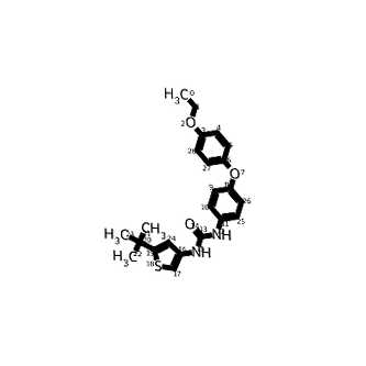 CCOc1ccc(Oc2ccc(NC(=O)Nc3csc(C(C)(C)C)c3)cc2)cc1